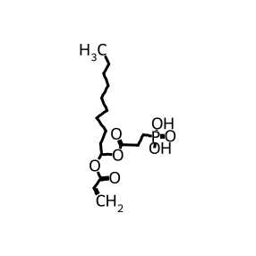 C=CC(=O)OC(CCCCCCCCC)OC(=O)CCP(=O)(O)O